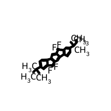 CCC(C)(CC)c1ccc2c(c1)C(F)(F)c1cc3c(cc1-2)C(F)(F)c1cc(C(C)(CC)CC)ccc1-3